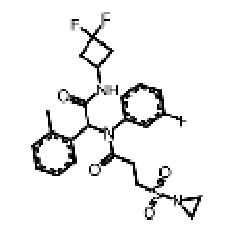 Cc1ccccc1C(C(=O)NC1CC(F)(F)C1)N(C(=O)CCS(=O)(=O)N1CC1)c1cccc(F)c1